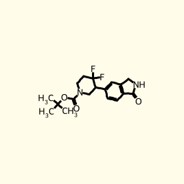 CC(C)(C)OC(=O)N1CCC(F)(F)C(c2ccc3c(c2)CNC3=O)C1